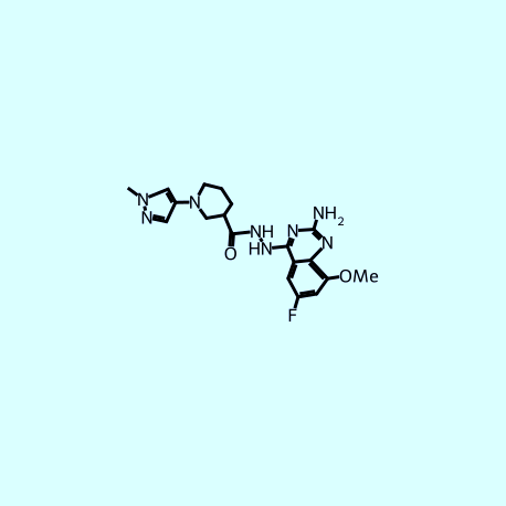 COc1cc(F)cc2c(NNC(=O)C3CCCN(c4cnn(C)c4)C3)nc(N)nc12